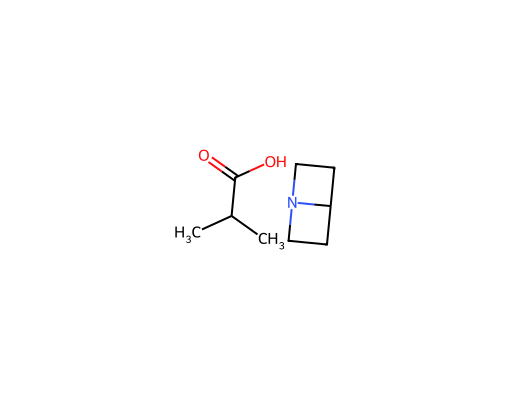 C1CN2CCC12.CC(C)C(=O)O